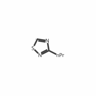 CCCc1n[c]sn1